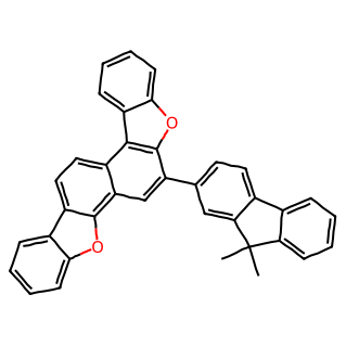 CC1(C)c2ccccc2-c2ccc(-c3cc4c(ccc5c6ccccc6oc54)c4c3oc3ccccc34)cc21